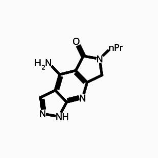 CCCN1Cc2nc3[nH]ncc3c(N)c2C1=O